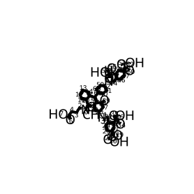 CN(CCCC(=O)O)C(=O)c1ccccc1-c1c2cc/c(=N/Cc3ccc(S(=O)(=O)O)cc3S(=O)(=O)O)cc-2oc2cc(NCc3ccc(S(=O)(=O)O)cc3S(=O)(=O)O)ccc12